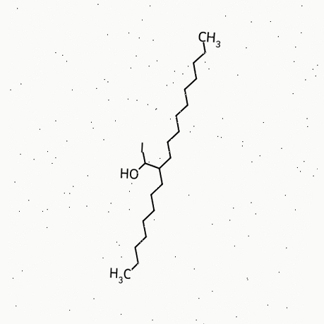 CCCCCCCCCCC(CCCCCCCC)C(O)I